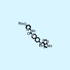 COc1ccc(NC(=O)N2CCC3(CCC(N(C)c4ncnc5[nH]ccc45)CC3)CC2)nc1